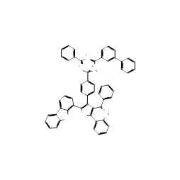 c1ccc(-c2cccc(-c3nc(-c4ccccc4)nc(-c4ccc(-c5c(-c6cccc7c6sc6ccccc67)sc6c5c(-c5ccccc5)nc5ccccc56)cc4)n3)c2)cc1